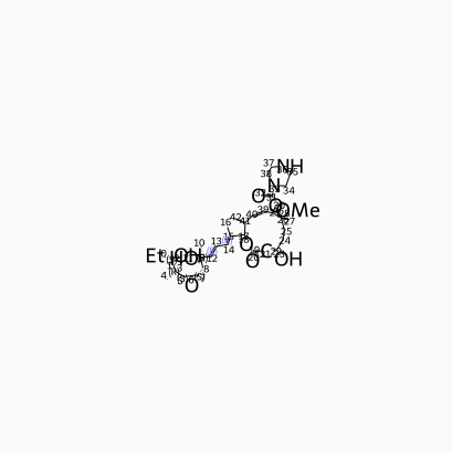 CC[C@H](O)[C@@H](C)[C@@H]1O[C@H]1C[C@@](C)(O)/C=C/C=C(\C)C1OC(=O)CC(O)CCC(C)(OC)C(OC(=O)N2CCNCC2)C=CC1C